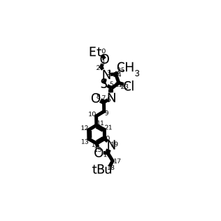 CCOCN1SC(=NC(=O)CCc2ccc3oc(CC(C)(C)C)nc3c2)C(Cl)C1C